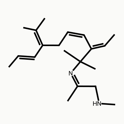 CC=CC(C/C=C\C(=C/C)C(C)(C)/N=C(/C)CNC)=C(C)C